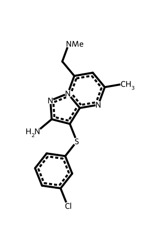 CNCc1cc(C)nc2c(Sc3cccc(Cl)c3)c(N)nn12